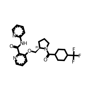 O=C(Nc1ccccn1)c1ncccc1OC[C@H]1CCCN1C(=O)C1CCC(C(F)(F)F)CC1